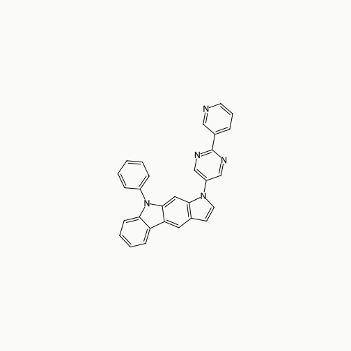 c1ccc(-n2c3ccccc3c3cc4ccn(-c5cnc(-c6cccnc6)nc5)c4cc32)cc1